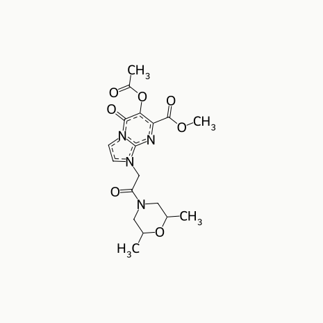 COC(=O)c1nc2n(CC(=O)N3CC(C)OC(C)C3)ccn2c(=O)c1OC(C)=O